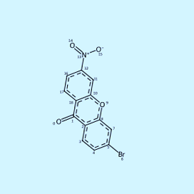 O=c1c2ccc(Br)cc2oc2cc([N+](=O)[O-])ccc12